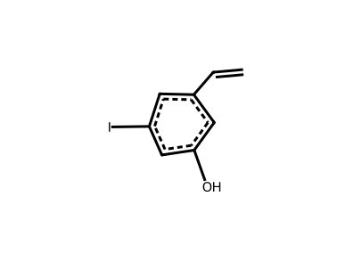 C=Cc1cc(O)cc(I)c1